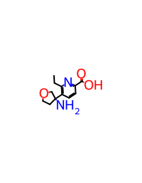 CCc1nc(C(=O)O)ccc1C1(N)CCOC1